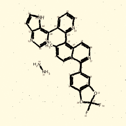 Cc1ccc2c(-c3ccc4c(c3)OC(F)(F)O4)nccc2c1-c1ncccc1-c1ncnc2cc[nH]c12.NN